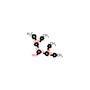 Cc1ccc(COc2ccc(COc3cc(CO)cc(OCc4ccc(OCc5ccc(C)cc5)c(OCc5ccc(C)cc5)c4)c3)cc2OCc2ccc(C)cc2)cc1